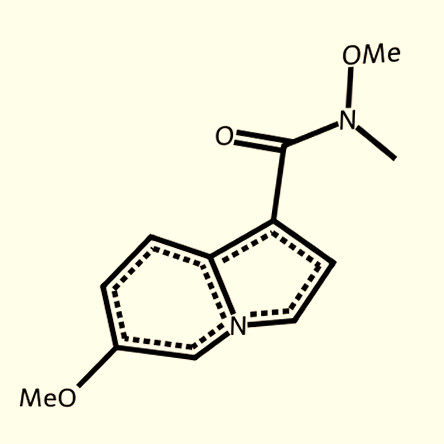 COc1ccc2c(C(=O)N(C)OC)ccn2c1